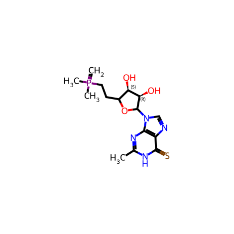 C=P(C)(C)CCC1OC(n2cnc3c(=S)[nH]c(C)nc32)[C@H](O)[C@@H]1O